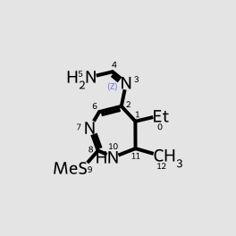 CCC1C(/N=C\N)=CN=C(SC)NC1C